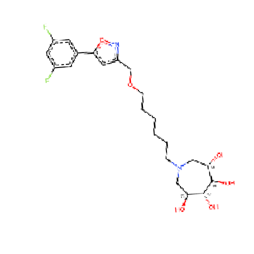 O[C@H]1[C@H](O)[C@@H](O)CN(CCCCCCOCc2cc(-c3cc(F)cc(F)c3)on2)C[C@@H]1O